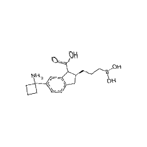 NC1(c2ccc3c(c2)C(C(=O)O)[C@@H](CCCB(O)O)C3)CCC1